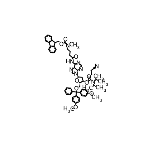 COc1ccc(C(OC[C@H]2O[C@@H](N3C=NC4C(NC(=O)CCCN(C)C(=O)OCC5c6ccccc6-c6ccccc65)=NC=NC43)CC2OP(OCCC#N)N(C(C)C)C(C)C)(c2ccccc2)c2ccc(OC)cc2)cc1